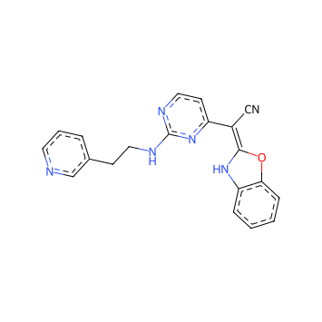 N#CC(=C1Nc2ccccc2O1)c1ccnc(NCCc2cccnc2)n1